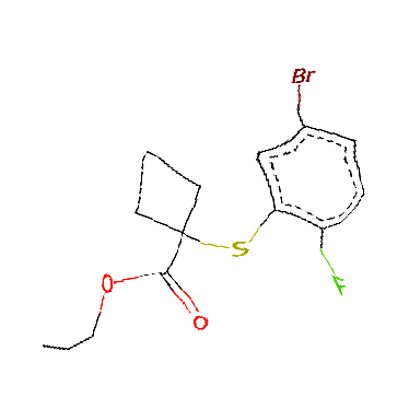 CCOC(=O)C1(Sc2cc(Br)ccc2F)CCC1